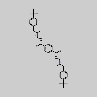 C/C(=C\OC(=O)c1ccc(C(=O)O/C=C(\C)Cc2ccc(C(C)(C)C)cc2)cc1)Cc1ccc(C(C)(C)C)cc1